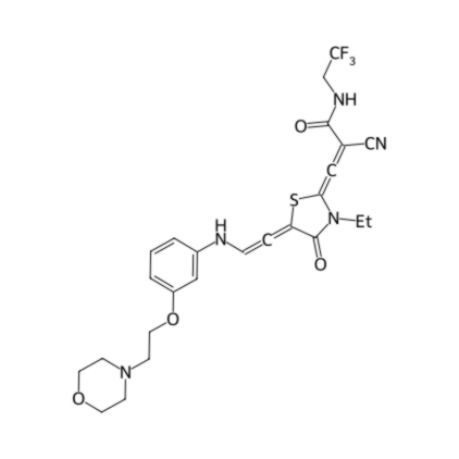 CCn1c(=C=C(C#N)C(=O)NCC(F)(F)F)sc(=C=CNc2cccc(OCCN3CCOCC3)c2)c1=O